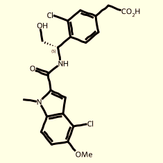 COc1ccc2c(cc(C(=O)N[C@H](CO)c3ccc(CC(=O)O)cc3Cl)n2C)c1Cl